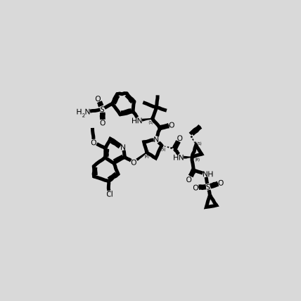 C=C[C@@H]1C[C@]1(NC(=O)[C@@H]1C[C@@H](Oc2ncc(OC)c3ccc(Cl)cc23)CN1C(=O)[C@@H](Nc1cccc(S(N)(=O)=O)c1)C(C)(C)C)C(=O)NS(=O)(=O)C1CC1